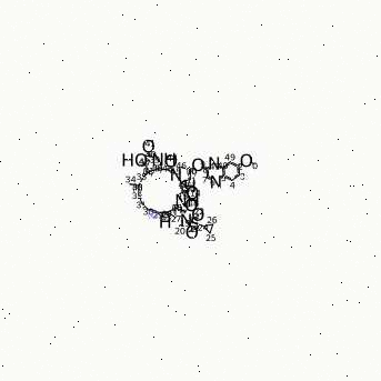 COc1ccc2ncc(O[C@@H]3C[C@H]4C(=O)N[C@]5(C(=O)N(C)S(=O)(=O)C6CC6)C[C@H]5/C=C\CC[C@@H](C)C[C@@H](C)[C@H](NC(=O)O)C(=O)N4C3)nc2c1